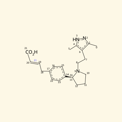 Cc1n[nH]c(C)c1CCN1CCC[C@H]1c1ccc(C/C=C/C(=O)O)cc1